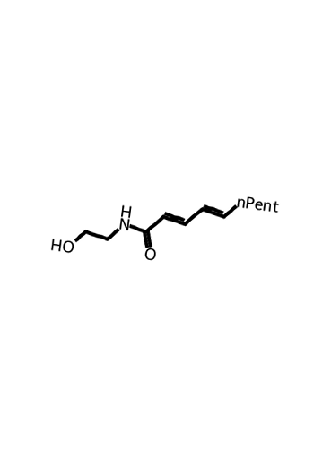 CCCCCC=CC=CC(=O)NCCO